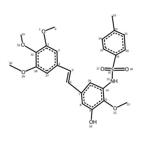 COc1cc(C=Cc2cc(O)c(OC)c(NS(=O)(=O)c3ccc(C)cc3)c2)cc(OC)c1OC